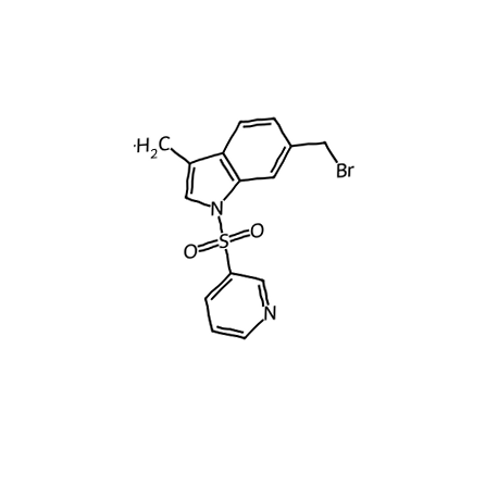 [CH2]c1cn(S(=O)(=O)c2cccnc2)c2cc(CBr)ccc12